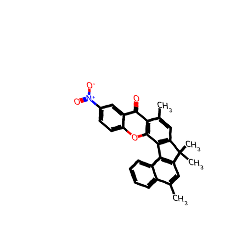 Cc1cc2c(c3ccccc13)-c1c(cc(C)c3c(=O)c4cc([N+](=O)[O-])ccc4oc13)C2(C)C